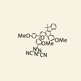 COc1ccc(C2(c3ccc(-c4nc(C#N)nc(C#N)n4)cc3)C=Cc3c4c(c5cc(OC)c(OC)cc5c3O2)-c2ccccc2C4(C)C)cc1